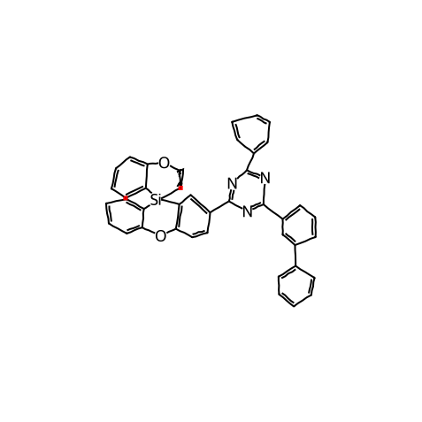 c1ccc(-c2cccc(-c3nc(-c4ccccc4)nc(-c4ccc5c(c4)[Si]4(c6ccccc6Oc6ccccc64)c4ccccc4O5)n3)c2)cc1